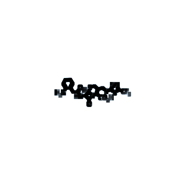 Nc1ccccc1CC(=O)NC1C(=O)N2C(C(=O)O)=C(CSc3nnc(C(F)(F)F)s3)CS[C@H]12